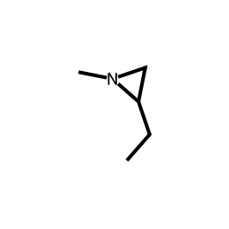 CCC1CN1C